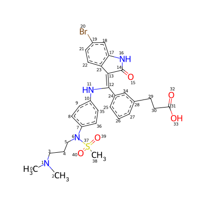 CN(C)CCCN(c1ccc(NC(=C2C(=O)Nc3cc(Br)ccc32)c2cccc(CCC(=O)O)c2)cc1)S(C)(=O)=O